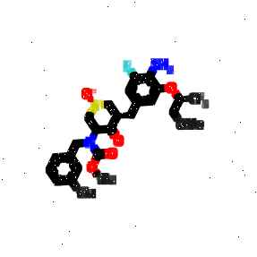 COC[C@@H](Oc1cc(C[C@@H]2C[S@@+]([O-])C[C@H](N(Cc3cccc(C(C)(C)C)c3)C(=O)OC(C)(C)C)C2=O)cc(F)c1N)C(F)(F)F